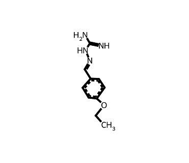 CCOc1ccc(/C=N/NC(=N)N)cc1